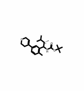 Cc1ccc(C2=CCOCC2)cc1C(NC(=O)OC(C)(C)C)[C@@H](C)C(C)C